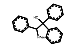 CNC(c1ccccc1)C(O)(c1ccccc1)c1ccccc1